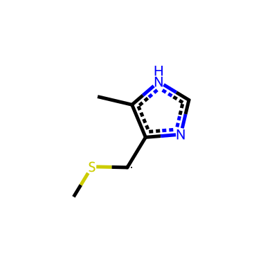 CS[CH]c1nc[nH]c1C